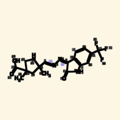 CC1(/C=N/N=C2\C(=O)Nc3cc(C(F)(F)F)ccc32)CC(C)(C(=O)O)CN1